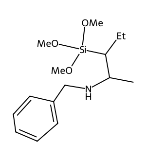 CCC(C(C)NCc1ccccc1)[Si](OC)(OC)OC